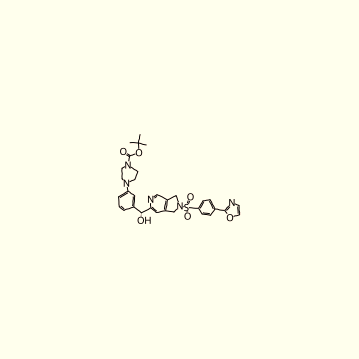 CC(C)(C)OC(=O)N1CCN(c2cccc([C@@H](O)c3cc4c(cn3)CN(S(=O)(=O)c3ccc(-c5ncco5)cc3)C4)c2)CC1